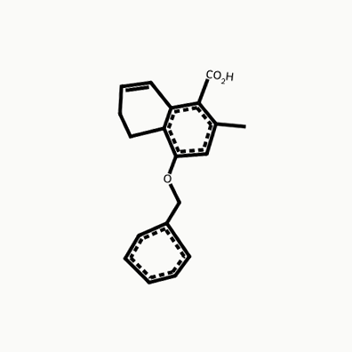 Cc1cc(OCc2ccccc2)c2c(c1C(=O)O)C=CCC2